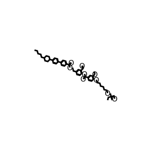 CCCCCC1CCC(c2ccc(-c3ccc(C(=O)OCCc4ccc(OC(=O)c5ccc(OCCCCCCOCC6(CC)COC6)c(OC)c5)c(C=O)c4)cc3)cc2)CC1